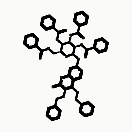 O=C(OC[C@H]1O[C@H](Oc2ccc3c(OCc4ccccc4)c(OCc4ccccc4)c(=O)oc3c2)[C@@H](OC(=O)c2ccccc2)[C@@H](OC(=O)c2ccccc2)[C@@H]1OC(=O)c1ccccc1)c1ccccc1